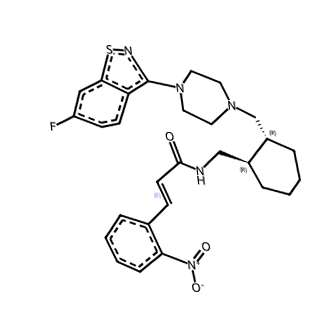 O=C(/C=C/c1ccccc1[N+](=O)[O-])NC[C@@H]1CCCC[C@H]1CN1CCN(c2nsc3cc(F)ccc23)CC1